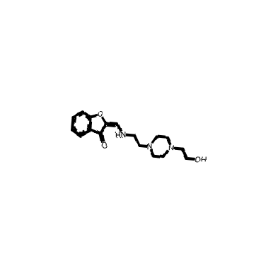 O=C1C(=CNCCN2CCN(CCO)CC2)Oc2ccccc21